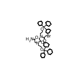 NC(=O)CN(CCOC(c1ccccc1)(c1ccccc1)c1ccccc1)C(=O)CN(CCOC(c1ccccc1)(c1ccccc1)c1ccccc1)C(=O)CBr